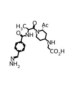 CC(=O)[C@@H]1CC(NCC(=O)O)CCN1C(=O)C(C)NC(=O)c1ccc(C=NN)cc1